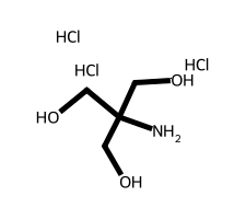 Cl.Cl.Cl.NC(CO)(CO)CO